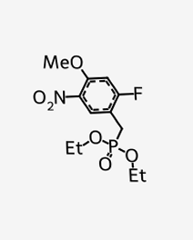 CCOP(=O)(Cc1cc([N+](=O)[O-])c(OC)cc1F)OCC